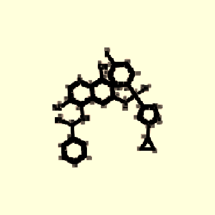 [2H][C@](Nc1cc(C#N)c2ncc(C#N)c(N[C@H](CC)c3ccccc3)c2c1)(c1ccc(F)cc1)c1cn(C2CC2)nn1